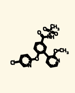 COc1ncccc1-c1cc(C(=O)NS(C)(=O)=O)ccc1Oc1ccc(Cl)cn1